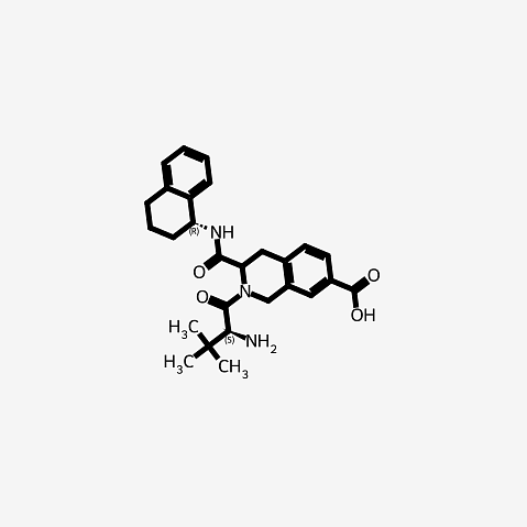 CC(C)(C)[C@H](N)C(=O)N1Cc2cc(C(=O)O)ccc2CC1C(=O)N[C@@H]1CCCc2ccccc21